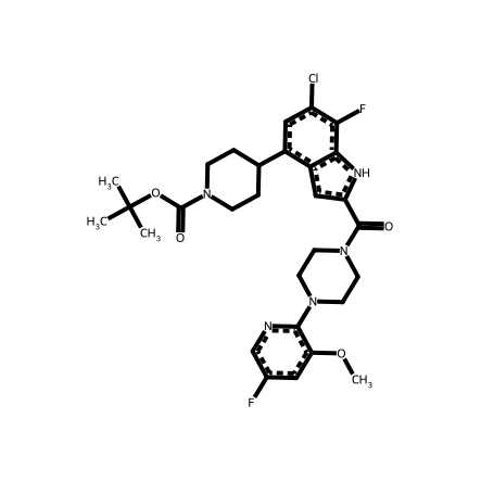 COc1cc(F)cnc1N1CCN(C(=O)c2cc3c(C4CCN(C(=O)OC(C)(C)C)CC4)cc(Cl)c(F)c3[nH]2)CC1